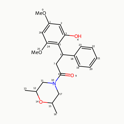 COc1cc(O)c(C(CC(=O)N2CC(C)OC(C)C2)c2ccccc2)c(OC)c1